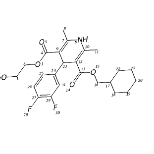 COCCOC(=O)C1=C(C)NC(C)=C(C(=O)OCC2CCCCC2)C1c1ccc(F)c(F)c1